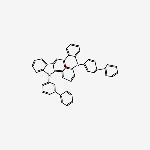 c1ccc(-c2ccc(N(c3ccccc3)c3ccccc3-c3ccc4c(c3)c3ccccc3n4-c3cccc(-c4ccccc4)c3)cc2)cc1